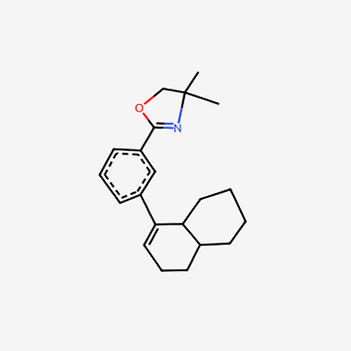 CC1(C)COC(c2cccc(C3=CCCC4CCCCC34)c2)=N1